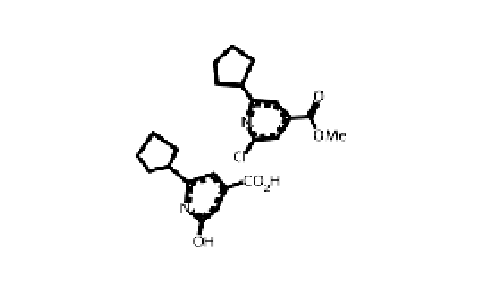 COC(=O)c1cc(Cl)nc(C2CCCC2)c1.O=C(O)c1cc(O)nc(C2CCCC2)c1